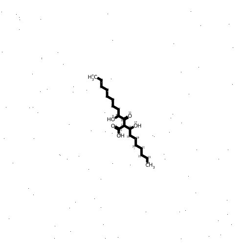 CCCCCCCCC(O)C(=O)C(C(=O)O)C(O)CCCCCCC